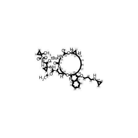 C=C[C@@H]1C[C@]1(NC(=O)[C@@H]1C[C@@H]2CN1C(=O)[C@H](C(C)(C)C)NC(=O)O[C@@H]1C[C@H]1CCCCCc1c(nc3ccccc3c1OCCCNC1CC1)O2)C(=O)NS(=O)(=O)C1(C)CC1